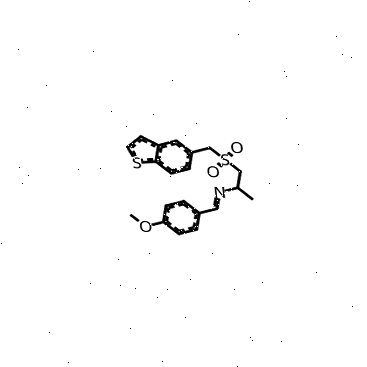 COc1ccc(C=NC(C)CS(=O)(=O)Cc2ccc3sccc3c2)cc1